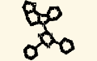 c1ccc(-c2nc(-c3ccccc3)nc(-n3c4ccccc4c4c5occc5ccc43)n2)cc1